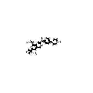 CCCNc1nc(C2(C)COC2)cc2cnc(Nc3ccc(N4CCNCC4)cn3)nc12